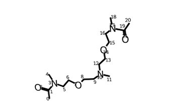 CC(=O)N(C)CCOCCN(C)CCOCCN(C)C(C)=O